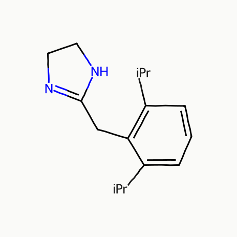 CC(C)c1cccc(C(C)C)c1CC1=NCCN1